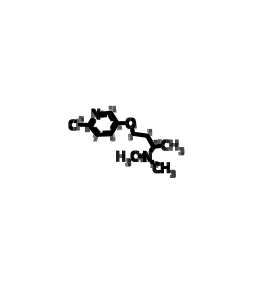 CC(CCOc1ccc(Cl)nc1)N(C)C